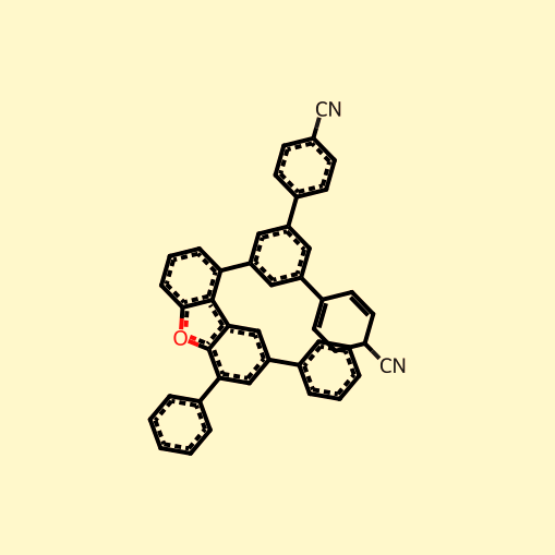 N#Cc1ccc(-c2cc(C3=CCC(C#N)C=C3)cc(-c3cccc4oc5c(-c6ccccc6)cc(-c6ccccc6)cc5c34)c2)cc1